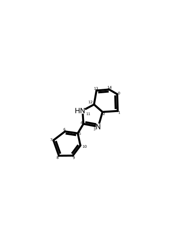 C1=CC2N=C(c3ccccc3)NC2C=C1